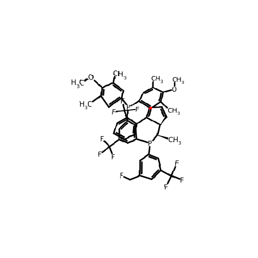 COc1c(C)cc(P(c2cc(C)c(OC)c(C)c2)c2ccccc2C2=CC=C[C@H]2[C@@H](C)P(c2cc(CF)cc(C(F)(F)F)c2)c2cc(C(F)(F)F)cc(C(F)(F)F)c2)cc1C